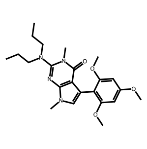 CCCN(CCC)c1nc2c(c(-c3c(OC)cc(OC)cc3OC)cn2C)c(=O)n1C